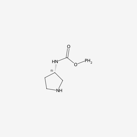 O=C(N[C@H]1CCNC1)OP